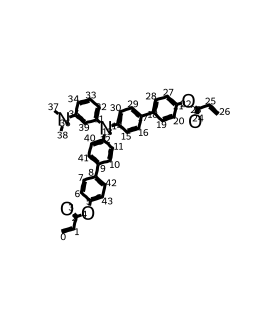 C=CC(=O)Oc1ccc(-c2ccc(N(c3ccc(-c4ccc(OC(=O)C=C)cc4)cc3)c3cccc(N(C)C)c3)cc2)cc1